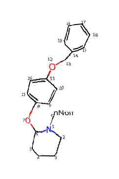 CCCCCCCCCN1CCCCC1Oc1ccc(OCc2ccccc2)cc1